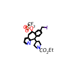 CCOC(=O)N1CCC(C2c3ccc(CI)cc3C(OS(=O)(=O)C(F)(F)F)=Cc3cccnc32)CC1